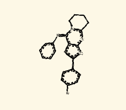 Brc1ccc(-c2cc3/c(=N\c4ccccc4)n4c(nc3o2)CCCC4)cc1